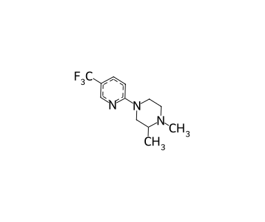 CC1CN(c2ccc(C(F)(F)F)cn2)CCN1C